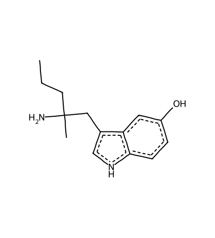 CCCC(C)(N)Cc1c[nH]c2ccc(O)cc12